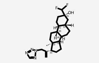 C=C(Cn1ncnn1)[C@H]1CC[C@H]2[C@@H]3CC[C@H]4C[C@](O)(C(F)F)CC[C@@H]4[C@H]3CC[C@]12C